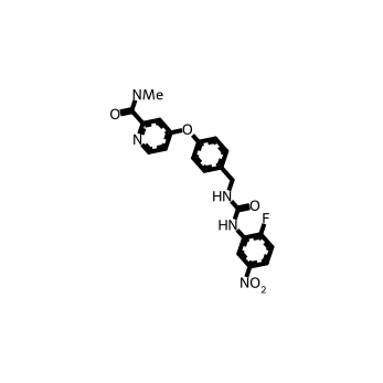 CNC(=O)c1cc(Oc2ccc(CNC(=O)Nc3cc([N+](=O)[O-])ccc3F)cc2)ccn1